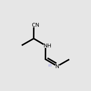 C/N=C\NC(C)C#N